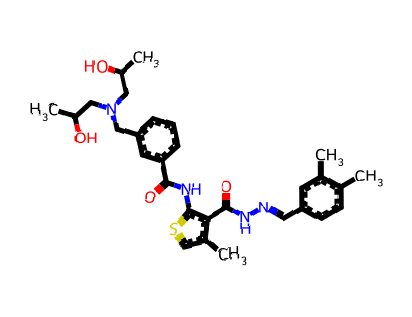 Cc1ccc(C=NNC(=O)c2c(C)csc2NC(=O)c2cccc(CN(CC(C)O)CC(C)O)c2)cc1C